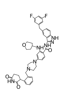 O=C1CCC(c2ccccc2CN2CCN(c3ccc(C(=O)Nc4n[nH]c5ccc(Cc6cc(F)cc(F)c6)cc45)c(NC4CCOCC4)c3)CC2)C(=O)N1